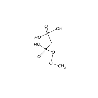 COOP(=O)(O)CP(=O)(O)O